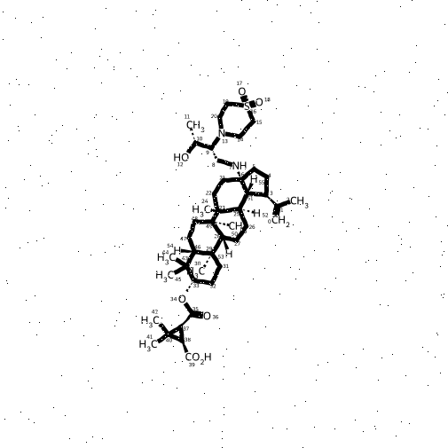 C=C(C)[C@@H]1CC[C@]2(NC[C@H]([C@@H](C)O)N3CCS(=O)(=O)CC3)CC[C@]3(C)[C@H](CC[C@@H]4[C@@]5(C)CC[C@H](OC(=O)[C@H]6[C@@H](C(=O)O)C6(C)C)C(C)(C)[C@@H]5CC[C@]43C)[C@@H]12